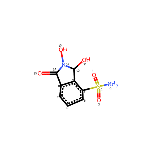 NS(=O)(=O)c1cccc2c1C(O)N(O)C2=O